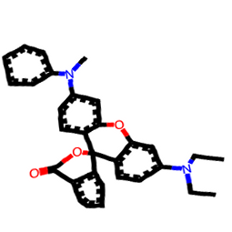 CCN(CC)c1ccc2c(c1)Oc1cc(N(C)c3ccccc3)ccc1C21OC(=O)c2ccccc21